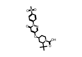 CC(C)(C)C1CC(Oc2cnn(-c3ccc(S(C)(=O)=O)cc3)c(=O)c2)CCN1C(=O)O